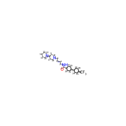 O=C(NC/C=C/CN1CCC(N2CCCCC2)CC1)c1ccc(-c2ccc(C(F)(F)F)cc2)cc1